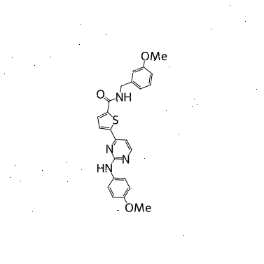 COc1ccc(Nc2nccc(-c3ccc(C(=O)NCc4cccc(OC)c4)s3)n2)cc1